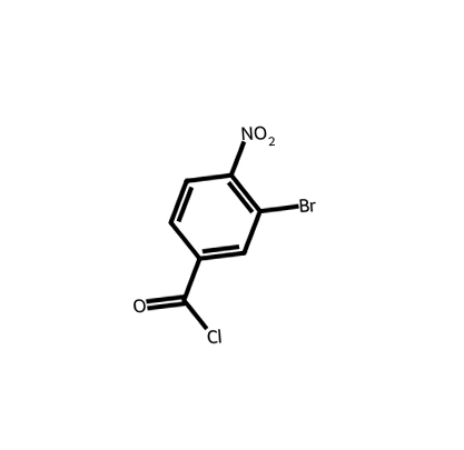 O=C(Cl)c1ccc([N+](=O)[O-])c(Br)c1